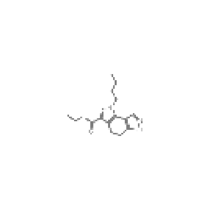 CCCCn1nc(C(=O)OCC)c2c1-c1cn[nH]c1CC2